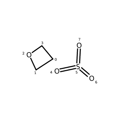 C1COC1.O=S(=O)=O